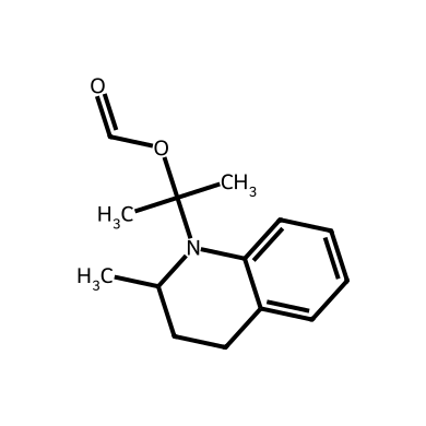 CC1CCc2ccccc2N1C(C)(C)OC=O